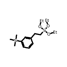 CCO[Si](CCc1cccc([Si](C)(C)C)c1)(OCC)OCC